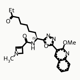 CCC(=O)CCCCC[C@H](NC(=O)C1=CN(C)C1)c1nnc(-c2cc3ccccc3nc2OC)o1